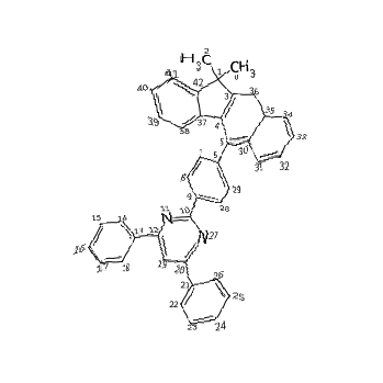 CC1(C)C2=C(C(c3ccc(-c4nc(-c5ccccc5)cc(-c5ccccc5)n4)cc3)=C3C=CC=CC3C2)c2ccccc21